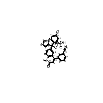 Cn1cncc1[C@@](OP(=O)(O)O)(c1ccc(Cl)cc1)c1ccc2c(c1)c(-c1cccc(C#N)c1)cc(=O)n2C